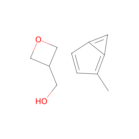 Cc1ccc2cc1-2.OCC1COC1